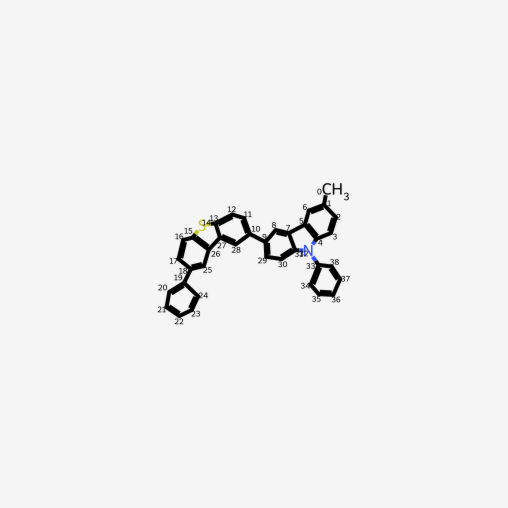 Cc1ccc2c(c1)c1cc(-c3ccc4sc5ccc(-c6ccccc6)cc5c4c3)ccc1n2-c1ccccc1